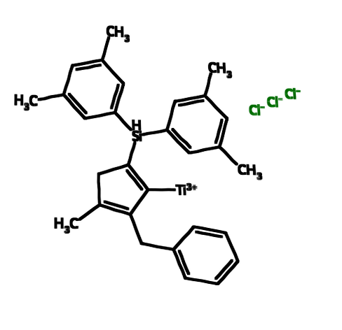 CC1=C(Cc2ccccc2)[C]([Ti+3])=C([SiH](c2cc(C)cc(C)c2)c2cc(C)cc(C)c2)C1.[Cl-].[Cl-].[Cl-]